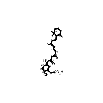 CC(C=CC1=C(C)CCCC1(C)C)=CC=CC(C)=CC(=O)Nc1ccc(O)c(CC(=O)O)c1